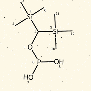 C[Si](C)(C)C(OP(O)O)[Si](C)(C)C